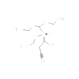 CCOC(OCC)P(=O)(OCC)C(C)CC#N